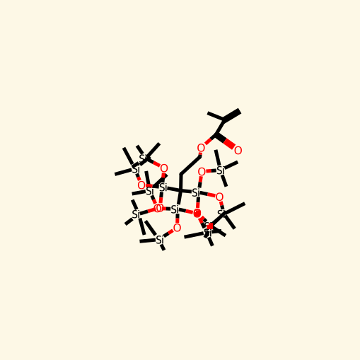 C=C(C)C(=O)OCCC([Si](O[Si](C)(C)C)(O[Si](C)(C)C)O[Si](C)(C)C)([Si](O[Si](C)(C)C)(O[Si](C)(C)C)O[Si](C)(C)C)[Si](O[Si](C)(C)C)(O[Si](C)(C)C)O[Si](C)(C)C